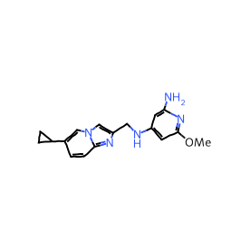 COc1cc(NCc2cn3cc(C4CC4)ccc3n2)cc(N)n1